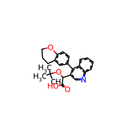 CC(C)(C)OC(C(=O)O)c1cnc2ccccc2c1-c1ccc2c(c1)CCCO2